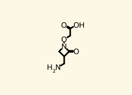 NCC1CN(OCC(=O)O)C1=O